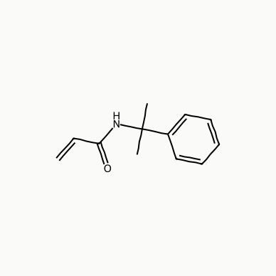 C=CC(=O)NC(C)(C)c1ccccc1